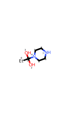 CCC(O)(O)N1CCNCC1